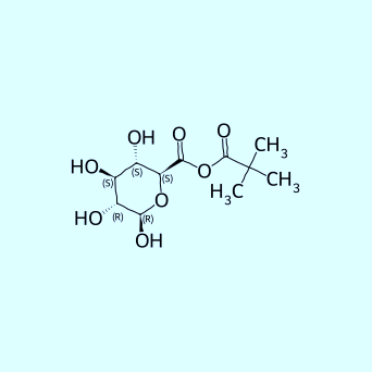 CC(C)(C)C(=O)OC(=O)[C@H]1O[C@@H](O)[C@H](O)[C@@H](O)[C@@H]1O